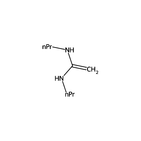 C=C(NCCC)NCCC